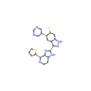 Fc1cc2[nH]nc(-c3nc4c(-c5cccs5)nccc4[nH]3)c2cc1-c1cncnc1